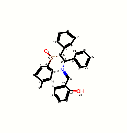 Cc1ccc([S+]([O-])[C@H](c2ccccc2)[C@@H](N=Cc2ccccc2O)c2ccccc2)cc1